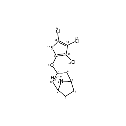 CN1C2CCC1CC(Oc1sc(Cl)c(Cl)c1Cl)C2